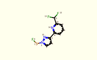 FSn1ccc(-c2cccc(C(F)F)n2)n1